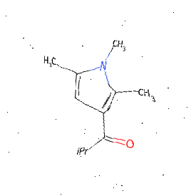 Cc1cc(C(=O)C(C)C)c(C)n1C